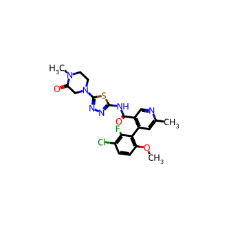 COc1ccc(Cl)c(F)c1-c1cc(C)ncc1C(=O)Nc1nnc(N2CCN(C)C(=O)C2)s1